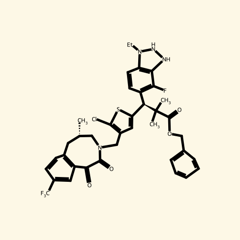 CCN1NNc2c1ccc([C@H](c1cc(CN3C[C@@H](C)Cc4ccc(C(F)(F)F)cc4C(=O)C3=O)c(Cl)s1)C(C)(C)C(=O)OCc1ccccc1)c2F